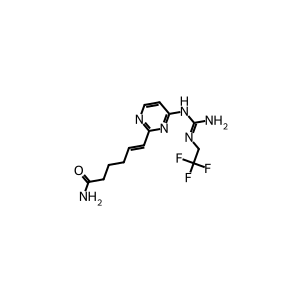 NC(=O)CCC/C=C/c1nccc(NC(N)=NCC(F)(F)F)n1